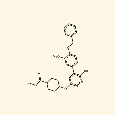 CCCCc1nnc(OC2CCN(C(=O)OC(C)(C)C)CC2)cc1-c1ccc(OCc2ccccc2)c(OC)c1